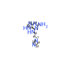 Nc1nc(NCCCn2ccnc2)c2[nH]cnc2n1